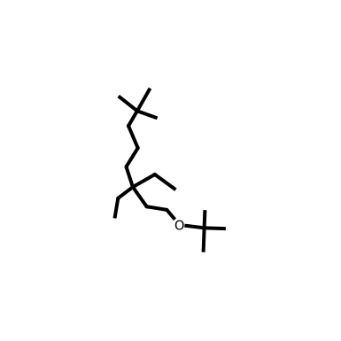 CCC(CC)(CCCC(C)(C)C)CCOC(C)(C)C